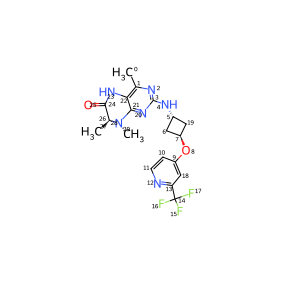 Cc1nc(N[C@H]2C[C@H](Oc3ccnc(C(F)(F)F)c3)C2)nc2c1NC(=O)[C@H](C)N2C